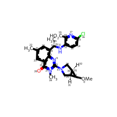 COC1[C@H]2CN(c3nc4c([C@H](C)Nc5ccc(Cl)nc5C(=O)O)cc(C)cc4c(=O)n3C)C[C@@H]12